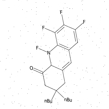 CCCCC1(CCCC)CC(=O)C2C(=Cc3cc(F)c(F)c(F)c3N2F)C1